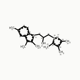 Cc1ccc2c(c1)c(C)c(C)n2CC(O)Cn1nc(C)c(C)c1C